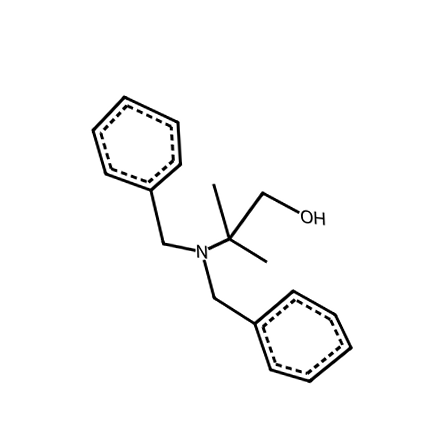 CC(C)(CO)N(Cc1ccccc1)Cc1ccccc1